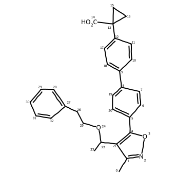 Cc1noc(-c2ccc(-c3ccc(C4(C(=O)O)CC4)cc3)cc2)c1C(C)OCCc1ccccc1